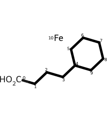 O=C(O)CCCC1CCCCC1.[Fe]